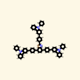 c1ccc(-n2c3ccccc3c3cc(-c4ccc(-c5nc6c(-c7ccc(-c8ccc9c(c8)c8ccccc8n9-c8ccccc8)cc7)ccc(-c7ccc(-c8ccc9c(c8)c8ccccc8n9-c8ccccc8)cc7)c6s5)cc4)ccc32)cc1